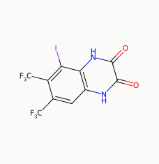 O=c1[nH]c2cc(C(F)(F)F)c(C(F)(F)F)c(I)c2[nH]c1=O